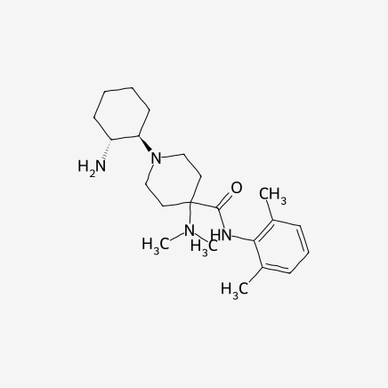 Cc1cccc(C)c1NC(=O)C1(N(C)C)CCN([C@@H]2CCCC[C@H]2N)CC1